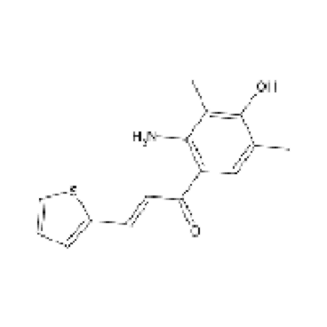 Cc1cc(C(=O)C=Cc2cccs2)c(N)c(C)c1O